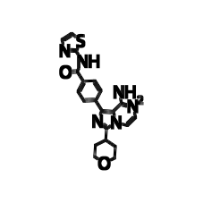 Nc1nccn2c(C3CCOCC3)nc(-c3ccc(C(=O)Nc4nccs4)cc3)c12